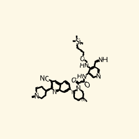 C[C@H]1CC[C@H](c2ccc3cc(C#N)c(C4CCN(C)CC4)nc3c2)N(C(=O)C(=O)Nc2cncc(C=N)c2NCOCC[Si](C)(C)C)C1